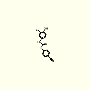 N#Cc1ccc(NC(=O)Nc2ccc(O)c(Cl)c2)cc1